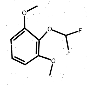 COc1cccc(OC)c1OC(F)F